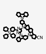 N#Cc1ccc2c(c1)c1ccccc1n2-c1ccc2c3ccccc3n(-c3cc(-n4c5ccccc5c5cc(-n6c7ccccc7c7ccccc76)ccc54)nc(-c4cccc([Si](c5ccccc5)(c5ccccc5)c5ccccc5)c4)n3)c2c1